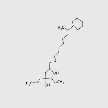 C=CCC(O)(CC=C)CC(O)CCCCCCCCC(C)C1CCCCC1